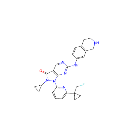 O=c1c2cnc(Nc3ccc4c(c3)CNCC4)nc2n(-c2cccc(C3(CF)CC3)n2)n1C1CC1